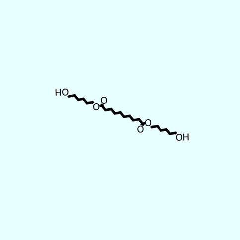 O=C(CCCCCCCCC(=O)OCCCCCCO)OCCCCCCO